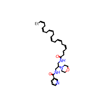 CC/C=C\C/C=C\C/C=C\C/C=C\C/C=C\C/C=C\CCC(=O)NCC(CNC(=O)c1cccnc1)N1CCOCC1